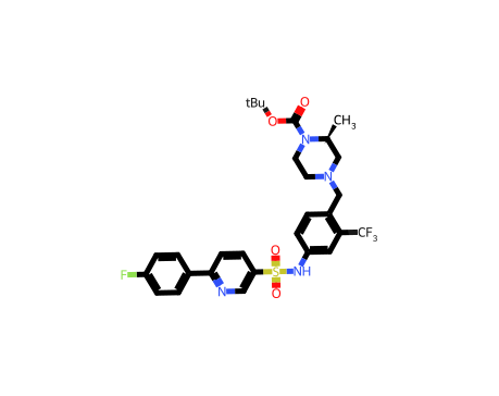 C[C@H]1CN(Cc2ccc(NS(=O)(=O)c3ccc(-c4ccc(F)cc4)nc3)cc2C(F)(F)F)CCN1C(=O)OC(C)(C)C